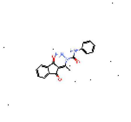 CC(=C1C(=O)c2ccccc2C1=O)N(N)C(=O)Nc1ccccc1